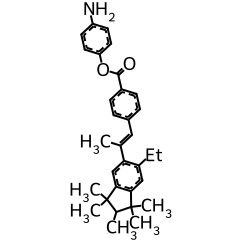 CCc1cc2c(cc1C(C)=Cc1ccc(C(=O)Oc3ccc(N)cc3)cc1)C(C)(C)C(C)C2(C)C